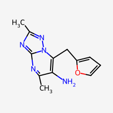 Cc1nc2nc(C)c(N)c(Cc3ccco3)n2n1